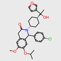 COc1cc2c(cc1OC(C)C)C(c1ccc(Cl)cc1)N([C@H]1CC[C@H](C(C)(O)c3ccoc3)CC1)C(=O)C2